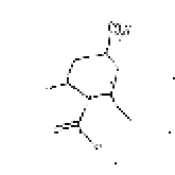 CC1CN(C(=O)O)CC(C)N1C(=O)Cl